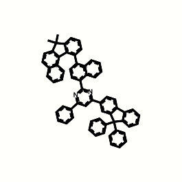 CC1(C)c2cccc(-c3ccc(-c4nc(-c5ccccc5)cc(-c5ccc6c(c5)C(c5ccccc5)(c5ccccc5)c5ccccc5-6)n4)c4ccccc34)c2-c2c1ccc1ccccc21